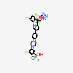 OC(c1cc(F)cc(N2CCN(c3ccc(-c4ccc(C(F)(F)[C@](O)(Cn5cnnn5)c5ccc(F)cc5F)nc4)cc3)CC2)c1)C(F)(F)F